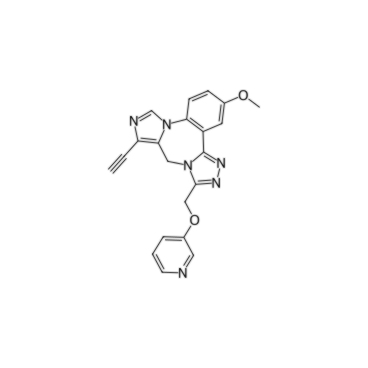 C#Cc1ncn2c1Cn1c(COc3cccnc3)nnc1-c1cc(OC)ccc1-2